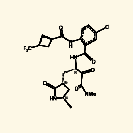 CNC(=O)C(=O)[C@H](C[C@@H]1C[C@@H](C)NC1=O)NC(=O)c1cc(Cl)ccc1NC(=O)C12CC(C(F)(F)F)(C1)C2